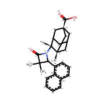 CC1(C)C(=O)N([C@@H]2C3CC4C[C@H]2C[C@@](C(=O)O)(C4)C3)C1c1cccc2ccccc12